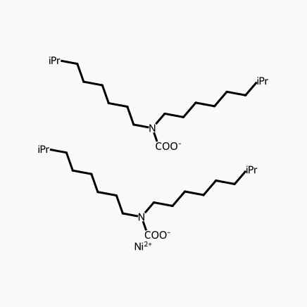 CC(C)CCCCCCN(CCCCCCC(C)C)C(=O)[O-].CC(C)CCCCCCN(CCCCCCC(C)C)C(=O)[O-].[Ni+2]